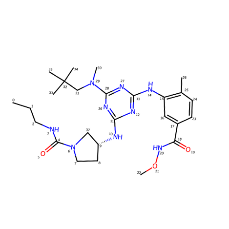 CCCNC(=O)N1CC[C@@H](Nc2nc(Nc3cc(C(=O)NOC)ccc3C)nc(N(C)CC(C)(C)C)n2)C1